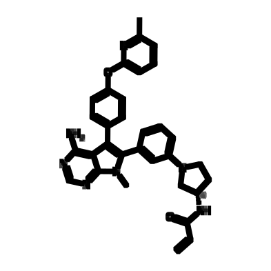 C=CC(=O)N[C@H]1CCN(c2cccc(-c3c(-c4ccc(Oc5cccc(C)n5)cc4)c4c(N)ncnc4n3C)c2)C1